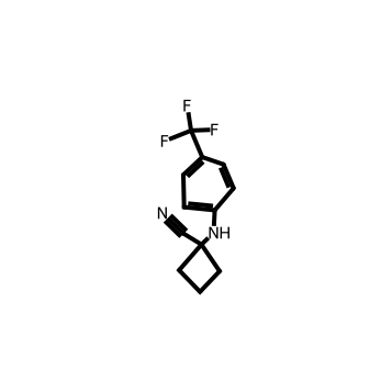 N#CC1(Nc2ccc(C(F)(F)F)cc2)CCC1